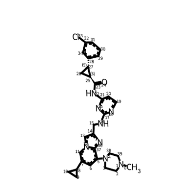 CN1CCN(c2cc(C3CC3)cn3cc(CNc4nccc(NC(=O)[C@H]5C[C@@H]5c5cccc(Cl)c5)n4)nc23)CC1